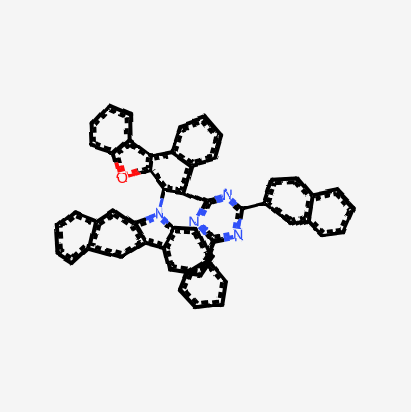 c1ccc(-c2nc(-c3ccc4ccccc4c3)nc(-c3c(-n4c5ccccc5c5cc6ccccc6cc54)c4oc5ccccc5c4c4ccccc34)n2)cc1